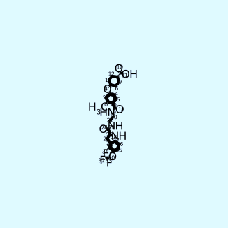 Cc1cc(O[C@H]2CC[C@@H](C(=O)O)CC2)ccc1C(=O)NCCNC(=O)C1Cc2cc(OC(F)(F)F)ccc2N1